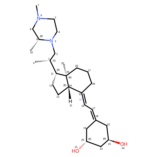 C[C@H](CN1CCN(C)C[C@H]1C)[C@H]1CC[C@H]2/C(=C/C=C3C[C@@H](O)C[C@H](O)C3)CCC[C@]12C